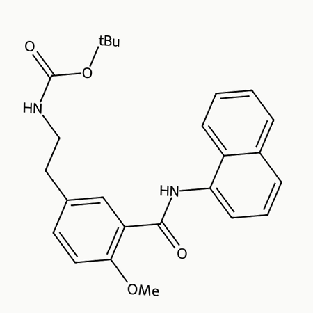 COc1ccc(CCNC(=O)OC(C)(C)C)cc1C(=O)Nc1cccc2ccccc12